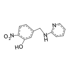 O=[N+]([O-])c1ccc(CNc2ccccn2)cc1O